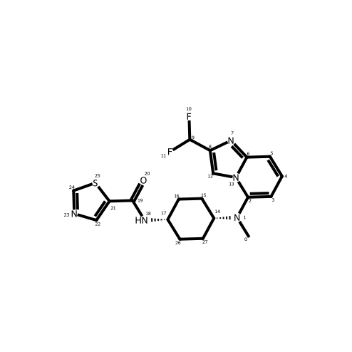 CN(c1cccc2nc(C(F)F)cn12)[C@H]1CC[C@@H](NC(=O)c2cncs2)CC1